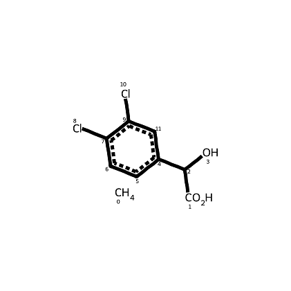 C.O=C(O)C(O)c1ccc(Cl)c(Cl)c1